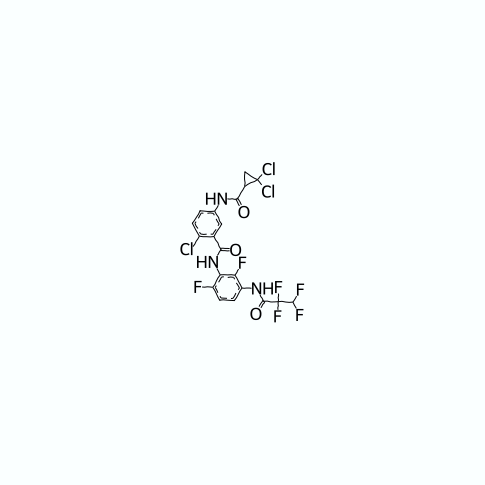 O=C(Nc1c(F)ccc(NC(=O)C(F)(F)C(F)F)c1F)c1cc(NC(=O)C2CC2(Cl)Cl)ccc1Cl